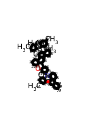 Cc1cc(C)c(B(c2c(C)cc(C)cc2C)c2cc3c4cccc5c4c(cc3c3ccccc23)-c2ccc(N(c3c(C)cc(C)cc3C)c3cccc4c3ccc3ccccc34)cc2O5)c(C)c1